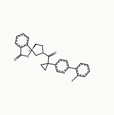 O=C1O[C@]2(CCN(C(=O)C3(c4ccc(-c5ccccc5F)nc4)CC3)C2)c2ccccc21